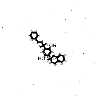 CC(C)(CCc1ccccc1)c1cc(O)c(C2(C)CCc3ccccc3C2)cc1O